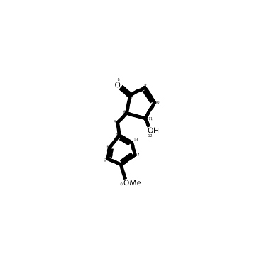 COc1ccc(CC2C(=O)C=CC2O)cc1